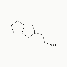 OCCN1CC2CCCC2C1